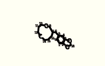 c1cc2c(cc1C[C]1CCCCCCCCC1)OCO2